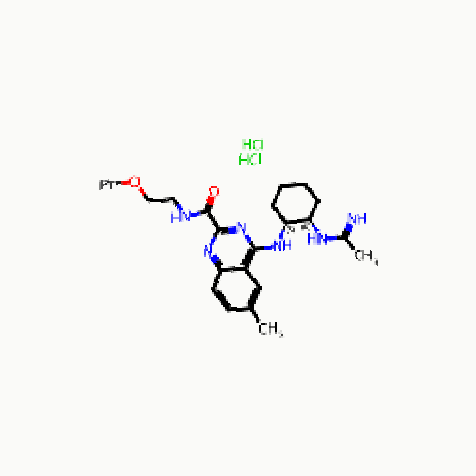 CC(=N)N[C@@H]1CCCC[C@@H]1Nc1nc(C(=O)NCCOC(C)C)nc2ccc(C)cc12.Cl.Cl